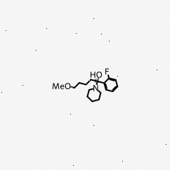 COCCCC[C@@](O)(c1ccccc1F)N1CCCCC1